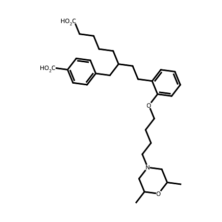 CC1CN(CCCCOc2ccccc2CCC(CCCCC(=O)O)Cc2ccc(C(=O)O)cc2)CC(C)O1